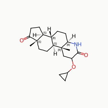 C[C@]12CC(OC3CC3)C(=O)N[C@@H]1CC[C@@H]1[C@@H]2CC[C@]2(C)C(=O)CC[C@@H]12